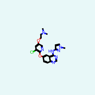 CN(C)CCOc1cnc(Oc2ccc3ncnc(Nc4ccn(C)n4)c3c2)c(Cl)c1